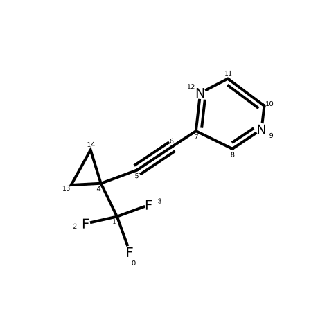 FC(F)(F)C1(C#Cc2cnccn2)CC1